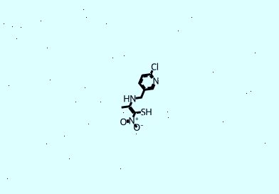 CC(NCc1ccc(Cl)nc1)=C(S)[N+](=O)[O-]